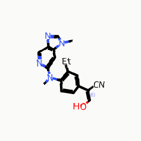 CCc1cc(/C(C#N)=C\O)ccc1N(C)c1cc2c(cn1)ncn2C